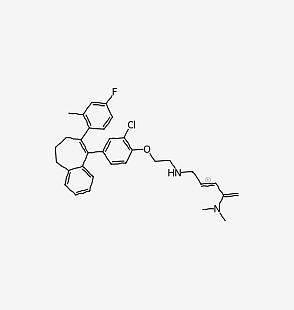 C=C(/C=C/CNCCOc1ccc(C2=C(c3ccc(F)cc3C)CCCc3ccccc32)cc1Cl)N(C)C